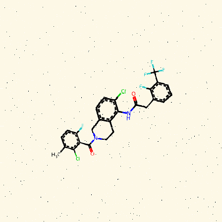 Cc1ccc(F)c(C(=O)N2CCc3c(ccc(Cl)c3NC(=O)Cc3cccc(C(F)(F)F)c3F)C2)c1Cl